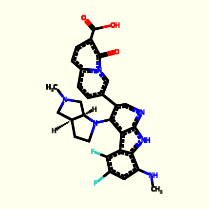 CNc1cc(F)c(F)c2c1[nH]c1ncc(-c3ccc4ccc(C(=O)O)c(=O)n4c3)c(N3CC[C@H]4CN(C)C[C@H]43)c12